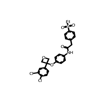 CCS(=O)(=O)c1ccc(CC(=O)Nc2ccc(OC3(c4ccc(Cl)c(Cl)c4)COC3)cc2)cc1